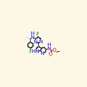 CCOC(=O)Nc1cnc2[nH]cc(-c3ncc(F)c(N[C@@H](C)c4ccc(F)cc4)n3)c2c1